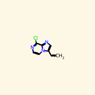 C=Cc1cnc2c(Cl)nccn12